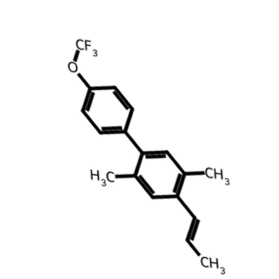 CC=Cc1cc(C)c(-c2ccc(OC(F)(F)F)cc2)cc1C